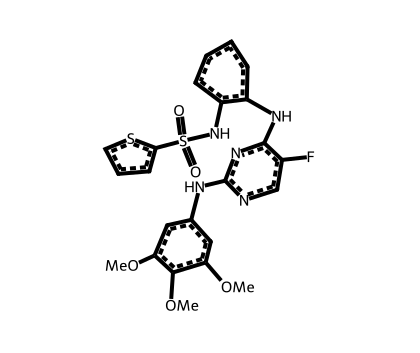 COc1cc(Nc2ncc(F)c(Nc3ccccc3NS(=O)(=O)c3cccs3)n2)cc(OC)c1OC